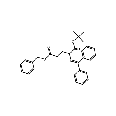 CC(C)(C)OC(=O)C(CCC(=O)OCc1ccccc1)N=C(c1ccccc1)c1ccccc1